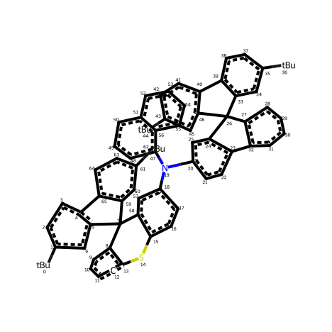 CC(C)(C)c1ccc2c(c1)C1(c3ccccc3Sc3ccc(N(c4ccc5c(c4)C4(c6ccccc6-5)c5cc(C(C)(C)C)ccc5-c5ccc(C(C)(C)C)cc54)c4cccc5ccccc45)cc31)c1cc(C(C)(C)C)ccc1-2